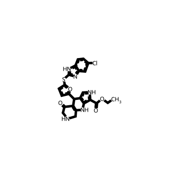 CCOC(=O)c1[nH]cc2c1NC1=C(C(=O)CNC1)C2c1ccc(Sc2nc3cc(Cl)ccc3[nH]2)o1